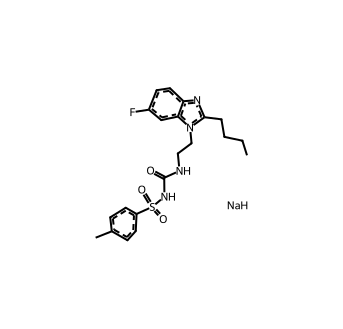 CCCCc1nc2ccc(F)cc2n1CCNC(=O)NS(=O)(=O)c1ccc(C)cc1.[NaH]